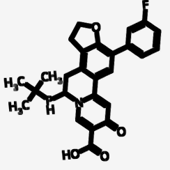 CC(C)(C)PC1Cc2c(cc(-c3cccc(F)c3)c3c2CCO3)-c2cc(=O)c(C(=O)O)cn21